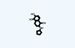 OC1C=CC2=C(CCC(NC3CCCC3)C2O)C1O